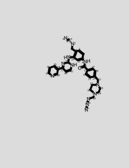 [N-]=[N+]=NCc1ccc(NC(=O)c2ccc(CN3CCN(CN=[N+]=[N-])CC3)cc2)cc1NC1N=C(c2cccnc2)C=CN1